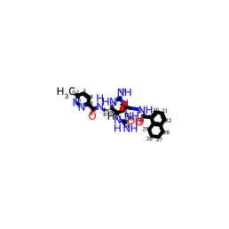 Cc1ccc(C(=O)NC[C@@H]2NC(=N)N3CC(NC(=O)c4cccc5c4CCCC5)[C@@H](O)[C@@]34NC(=N)N[C@@H]24)nn1